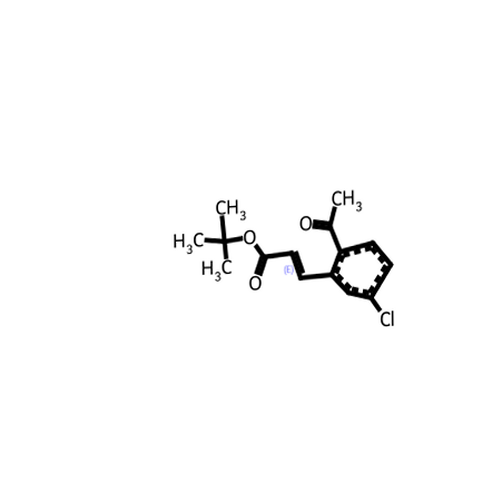 CC(=O)c1ccc(Cl)cc1/C=C/C(=O)OC(C)(C)C